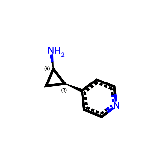 N[C@@H]1C[C@@H]1c1ccncc1